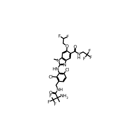 Cn1c(Nc2c(Cl)ccc(CNC(=O)C(C)(N)C(F)(F)F)c2Cl)nc2cc(C(=O)NCC(F)(F)F)c(OCC(F)F)cc21